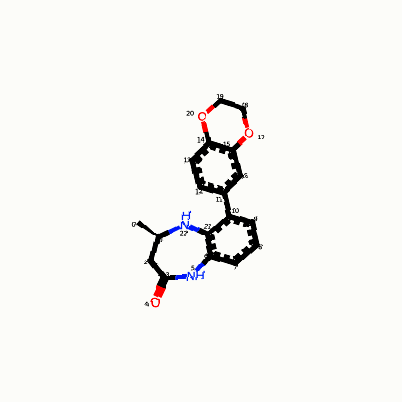 C[C@@H]1CC(=O)Nc2cccc(-c3ccc4c(c3)OCCO4)c2N1